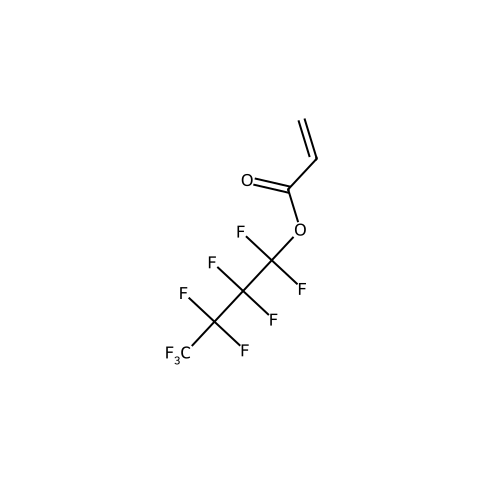 C=CC(=O)OC(F)(F)C(F)(F)C(F)(F)C(F)(F)F